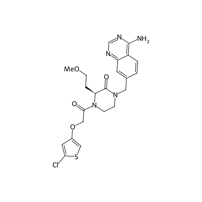 COCC[C@H]1C(=O)N(Cc2ccc3c(N)ncnc3c2)CCN1C(=O)COc1csc(Cl)c1